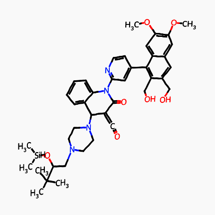 COc1cc2cc(CO)c(CO)c(-c3ccnc(N4C(=O)C(=C=O)C(N5CCN(CC(O[SiH](C)C)C(C)(C)C)CC5)c5ccccc54)c3)c2cc1OC